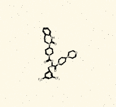 O=C(O[C@H](Cc1cc(C(F)(F)F)cc(C(F)(F)F)c1)C(=O)N1CCC(N2CCOCC2)CC1)N1CCC(N2CCc3ccccc3NC2=O)CC1